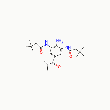 CC(C)C(=O)c1cc(NC(=O)CC(C)(C)C)c(N)c(NC(=O)CC(C)(C)C)c1